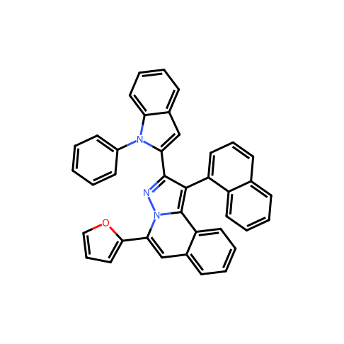 c1ccc(-n2c(-c3nn4c(-c5ccco5)cc5ccccc5c4c3-c3cccc4ccccc34)cc3ccccc32)cc1